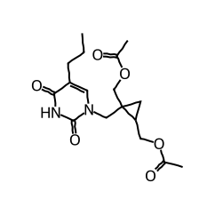 CCCc1cn(CC2(COC(C)=O)CC2COC(C)=O)c(=O)[nH]c1=O